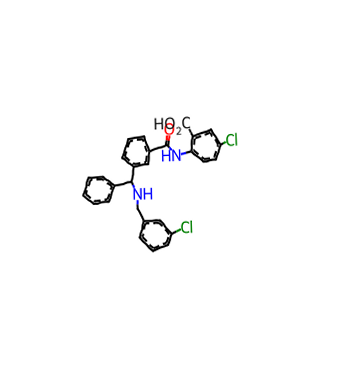 O=C(Nc1ccc(Cl)cc1C(=O)O)c1cccc(C(NCc2cccc(Cl)c2)c2ccccc2)c1